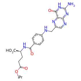 CC(C)OC(=O)CC[C@H](NC(=O)c1ccc(NCc2cnc3nc(N)[nH]c(=O)c3n2)cc1)C(=O)O